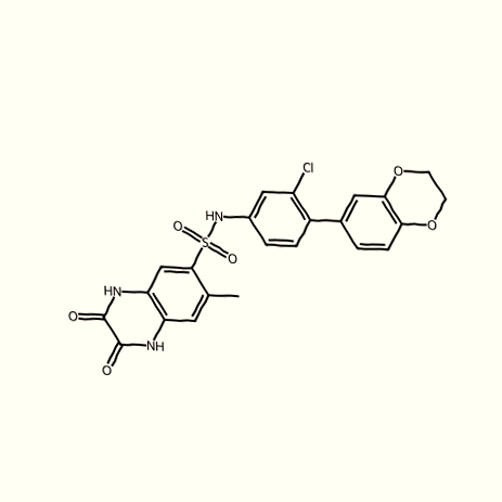 Cc1cc2[nH]c(=O)c(=O)[nH]c2cc1S(=O)(=O)Nc1ccc(-c2ccc3c(c2)OCCO3)c(Cl)c1